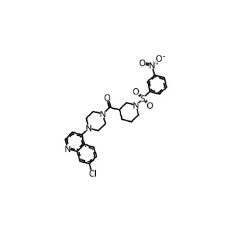 O=C(C1CCCN(S(=O)(=O)c2cccc([N+](=O)[O-])c2)C1)N1CCN(c2ccnc3cc(Cl)ccc23)CC1